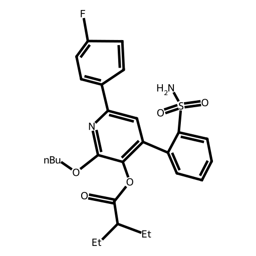 CCCCOc1nc(-c2ccc(F)cc2)cc(-c2ccccc2S(N)(=O)=O)c1OC(=O)C(CC)CC